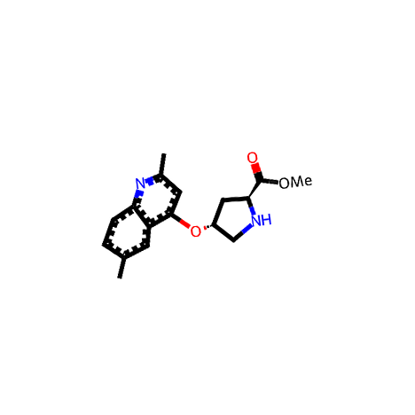 COC(=O)[C@@H]1C[C@@H](Oc2cc(C)nc3ccc(C)cc23)CN1